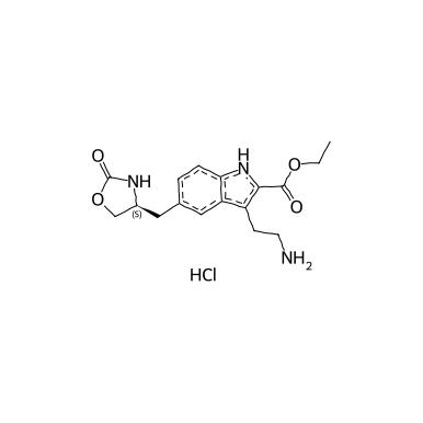 CCOC(=O)c1[nH]c2ccc(C[C@H]3COC(=O)N3)cc2c1CCN.Cl